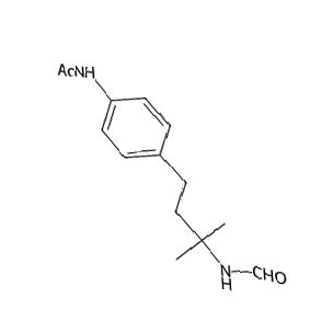 CC(=O)Nc1ccc(CCC(C)(C)NC=O)cc1